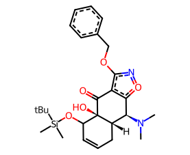 CN(C)[C@@H]1c2onc(OCc3ccccc3)c2C(=O)[C@@]2(O)C(O[Si](C)(C)C(C)(C)C)C=CC[C@@H]12